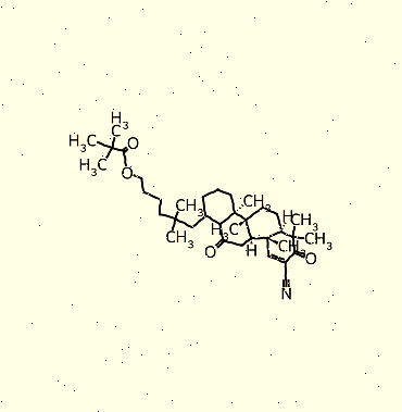 CC(C)(CCCCOC(=O)C(C)(C)C)CC1CCC[C@]2(C)C1C(=O)C[C@@H]1[C@@]3(C)C=C(C#N)C(=O)C(C)(C)[C@@H]3CC[C@]12C